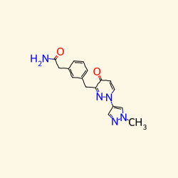 Cn1cc(-n2ccc(=O)c(Cc3cccc(CC(N)=O)c3)n2)cn1